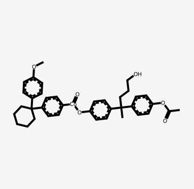 COc1ccc(C2(c3cc[c]([Co](=[O])[O]c4ccc(C(C)(CCCO)c5ccc(OC(C)=O)cc5)cc4)cc3)CCCCC2)cc1